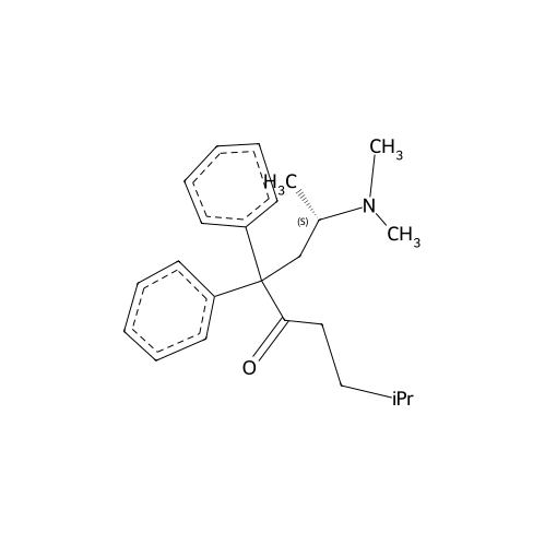 CC(C)CCC(=O)C(C[C@H](C)N(C)C)(c1ccccc1)c1ccccc1